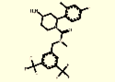 Cc1cc(F)ccc1C1CC(N)CCN1C(=O)N(C)Cc1cc(C(F)(F)F)cc(C(F)(F)F)c1